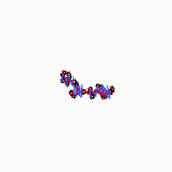 c1ccc(-c2nc(-c3ccc4ccccc4c3)nc(-c3ccc4ccccc4c3-n3c4ccc(-n5c6ccccc6c6cc(-c7ccc(-c8nc(-c9ccc%10ccc(-n%11c%12ccccc%12c%12c(-n%13c%14ccccc%14c%14ccc%15ccccc%15c%14%13)c%13ccccc%13cc%12%11)cc%10c9)nc(-c9cccc%10ccccc9%10)n8)cc7)c7ccccc7c65)cc4c4cc5ccccc5cc43)n2)cc1